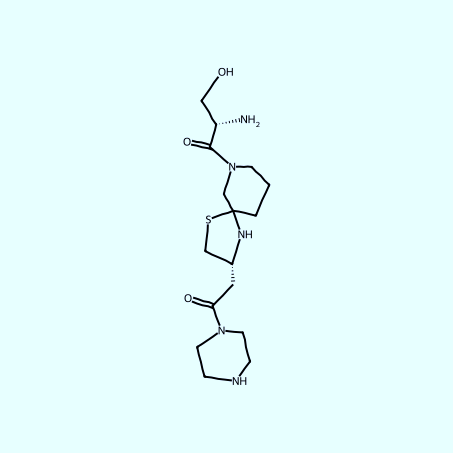 N[C@@H](CO)C(=O)N1CCCC2(C1)N[C@H](CC(=O)N1CCNCC1)CS2